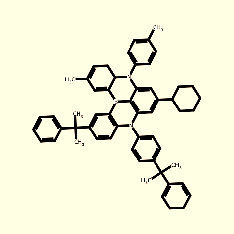 CC1=CCC2C(=C1)B1c3cc(C(C)(C)c4ccccc4)ccc3N(c3ccc(C(C)(C)C4=CCCC=C4)cc3)c3cc(C4CCCCC4)cc(c31)N2c1ccc(C)cc1